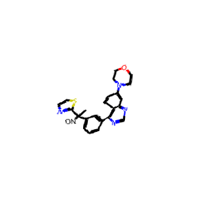 CC(N=O)(c1cccc(-c2ncnc3cc(N4CCOCC4)ccc23)c1)c1nccs1